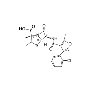 Cc1onc(-c2ccccc2Cl)c1C(=O)N[C@@H]1C(=O)N2[C@@H]1SC(C)[C@]2(C)C(=O)O